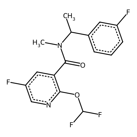 CC(c1cccc(F)c1)N(C)C(=O)c1cc(F)cnc1OC(F)F